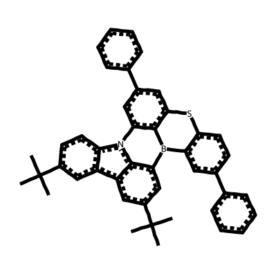 CC(C)(C)c1ccc2c(c1)c1cc(C(C)(C)C)cc3c1n2-c1cc(-c2ccccc2)cc2c1B3c1cc(-c3ccccc3)ccc1S2